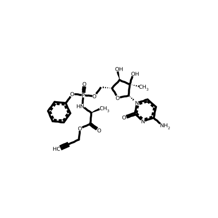 C#CCOC(=O)[C@H](C)NP(=O)(OC[C@H]1O[C@@H](n2ccc(N)nc2=O)[C@](C)(O)[C@@H]1O)Oc1ccccc1